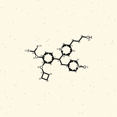 [O-][n+]1ccc(CC(c2ccc(OC(F)F)c(OC3CCC3)c2)c2ccc(CCCO)cn2)cc1